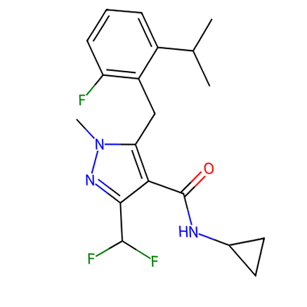 CC(C)c1cccc(F)c1Cc1c(C(=O)NC2CC2)c(C(F)F)nn1C